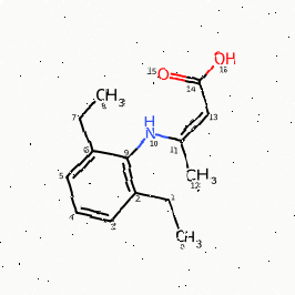 CCc1cccc(CC)c1N/C(C)=C\C(=O)O